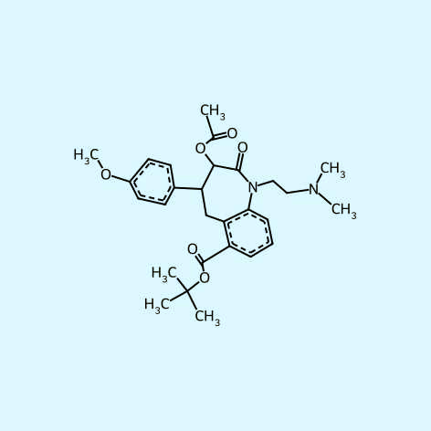 COc1ccc(C2Cc3c(C(=O)OC(C)(C)C)cccc3N(CCN(C)C)C(=O)C2OC(C)=O)cc1